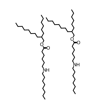 CCCCCCCCNCCCCCC(=O)OCC(CCCCCC)CCCCCCCC.CCCCCCCCNCCCCCC(=O)OCC(CCCCCC)CCCCCCCC